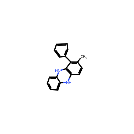 FC(F)(F)c1ccc2c(c1-c1ccccc1)Nc1ccccc1N2